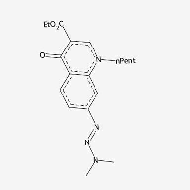 CCCCCn1cc(C(=O)OCC)c(=O)c2ccc(N=NN(C)C)cc21